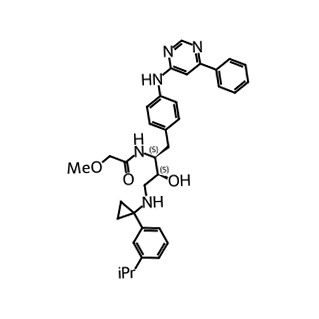 COCC(=O)N[C@@H](Cc1ccc(Nc2cc(-c3ccccc3)ncn2)cc1)[C@@H](O)CNC1(c2cccc(C(C)C)c2)CC1